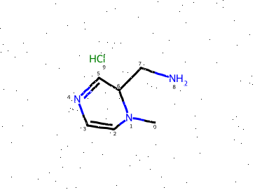 CN1C=CN=CC1CN.Cl